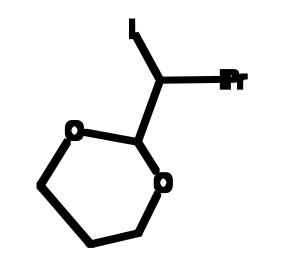 CC(C)C(I)C1OCCCO1